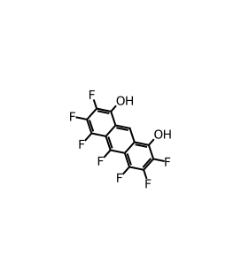 Oc1c(F)c(F)c(F)c2c(F)c3c(F)c(F)c(F)c(O)c3cc12